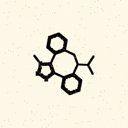 CC(C)C1Cc2ccccc2-c2c(nnn2C)-c2ccccc21